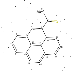 CSC(=S)c1cc2cccc3ccc4cccc1c4c32